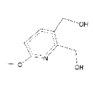 COc1ccc(CO)c(CO)n1